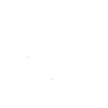 CC1CCOOCCOC1